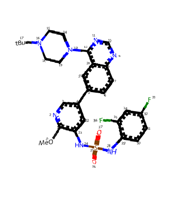 COc1ncc(-c2ccc3ncnc(N4CCN(C(C)(C)C)CC4)c3c2)cc1NS(=O)(=O)Nc1ccc(F)cc1F